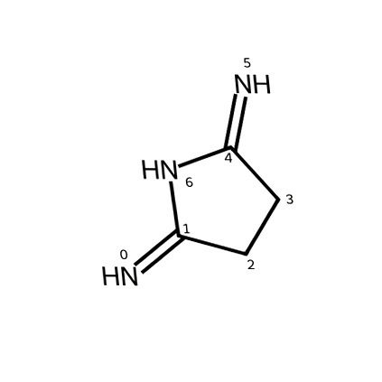 N=C1CCC(=N)N1